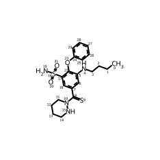 CCCCNc1cc(C(=S)N2CCCCN2)cc(S(N)(=O)=O)c1Oc1ccccc1